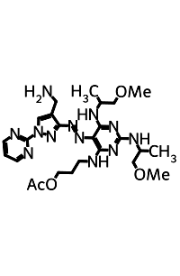 COCC(C)Nc1nc(NCCCOC(C)=O)c(N=Nc2nn(-c3ncccn3)cc2CN)c(NC(C)COC)n1